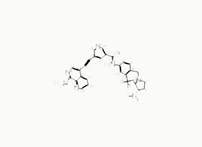 CN(C)[C@@H]1CCN(Cc2ccc(NC(=O)c3cncc(C#Cc4cnc(N)c5ncccc45)c3)cc2C(F)(F)F)C1